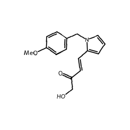 COc1ccc(Cn2cccc2/C=C/C(=O)CO)cc1